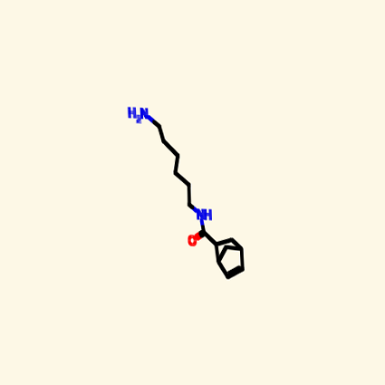 NCCCCCCNC(=O)C1CC2C=CC1C2